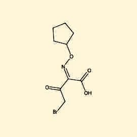 O=C(O)C(=NOC1CCCC1)C(=O)CBr